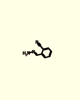 N#Cc1ccccc1/C=N/N